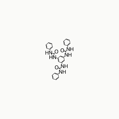 O=C(Nc1ccccc1)Nc1cc(NC(=O)Nc2ccccc2)cc(NC(=O)Nc2ccccc2)c1